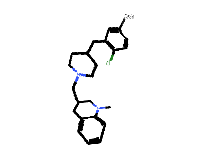 COc1ccc(Cl)c(CC2CCN(CC3Cc4ccccc4N(C)C3)CC2)c1